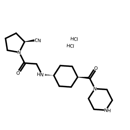 Cl.Cl.N#C[C@@H]1CCCN1C(=O)CN[C@H]1CC[C@H](C(=O)N2CCNCC2)CC1